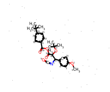 COc1ccc(C(N=C=O)C(OC(C)(C)C)C(=O)OC(=O)c2ccc(C(C)(C)C)cc2)cc1